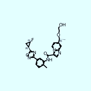 Cc1ccc(-c2noc([C@H]3C[C@@H]3F)n2)cc1NC(=O)c1cnc2cc([C@@H](C)OCCO)ccn12